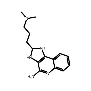 CN(C)CCCC1Nc2c(N)nc3ccccc3c2N1